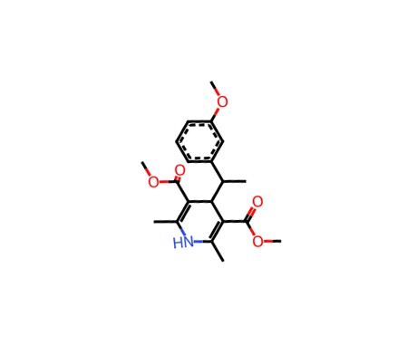 COC(=O)C1=C(C)NC(C)=C(C(=O)OC)C1C(C)c1cccc(OC)c1